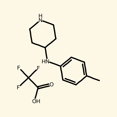 Cc1ccc(NC2CCNCC2)cc1.O=C(O)C(F)(F)F